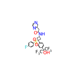 O=C(Cc1cnccn1)N[C@H]1C[C@@](c2ccc(C(O)(C(F)(F)F)C(F)(F)F)cc2)(S(=O)(=O)c2ccc(F)cc2)C1